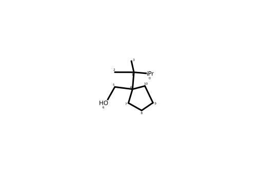 CC(C)C(C)(C)C1(CO)CCCC1